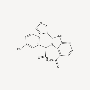 NC(=O)C(c1cccc(O)c1)N1c2c(C(=O)O)ccnc2NC1c1ccoc1